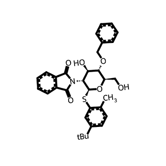 Cc1ccc(C(C)(C)C)cc1S[C@@H]1O[C@H](CO)[C@@H](OCc2ccccc2)[C@H](O)[C@H]1N1C(=O)c2ccccc2C1=O